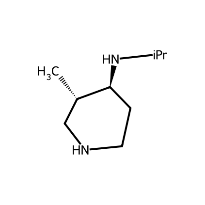 CC(C)N[C@H]1CCNC[C@@H]1C